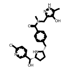 Cc1[nH]nc(CN(C)C(=O)c2ccc(C[C@@H]3CC[C@H](C(O)c4ccc(Cl)nc4)N3)cc2)c1O